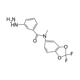 CN(C(=O)c1cccc(NN)c1)c1ccc2c(c1)OC(F)(F)O2